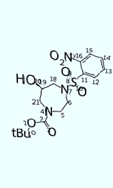 CC(C)(C)OC(=O)N1CCN(S(=O)(=O)c2ccccc2[N+](=O)[O-])C[C@H](O)C1